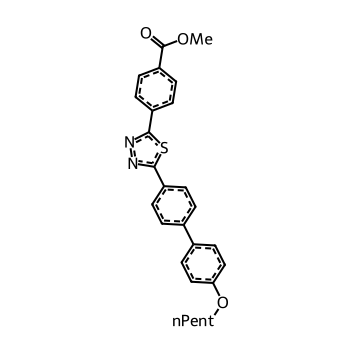 CCCCCOc1ccc(-c2ccc(-c3nnc(-c4ccc(C(=O)OC)cc4)s3)cc2)cc1